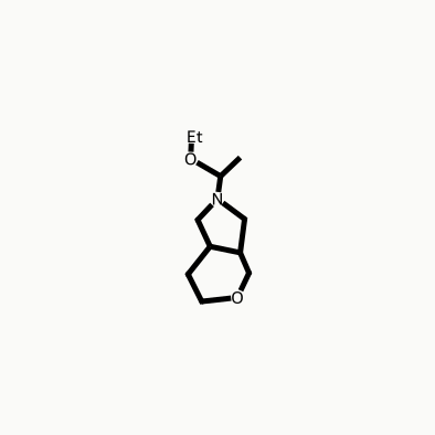 CCOC(C)N1CC2CCOCC2C1